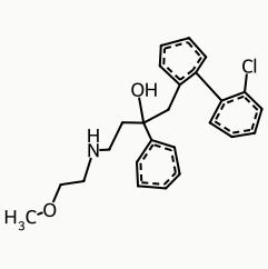 COCCNCCC(O)(Cc1ccccc1-c1ccccc1Cl)c1ccccc1